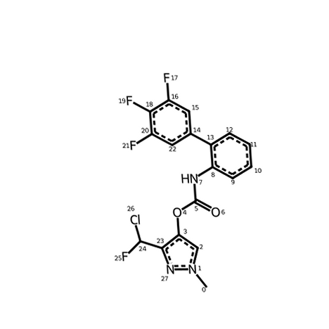 Cn1cc(OC(=O)Nc2ccccc2-c2cc(F)c(F)c(F)c2)c(C(F)Cl)n1